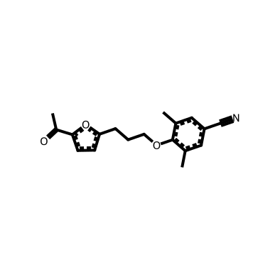 CC(=O)c1ccc(CCCOc2c(C)cc(C#N)cc2C)o1